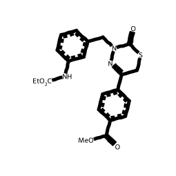 CCOC(=O)Nc1cccc(CN2N=C(c3ccc(C(=O)OC)cc3)CSC2=O)c1